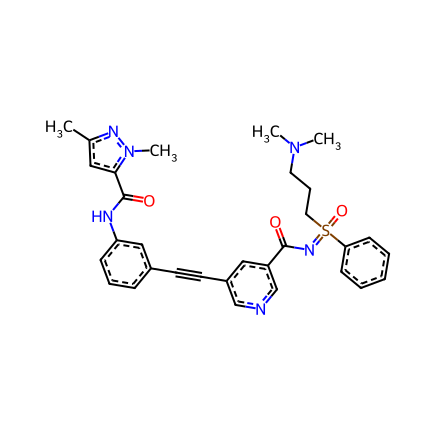 Cc1cc(C(=O)Nc2cccc(C#Cc3cncc(C(=O)N=S(=O)(CCCN(C)C)c4ccccc4)c3)c2)n(C)n1